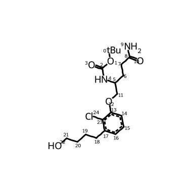 CC(C)(C)OC(=O)NC(CCC(N)=O)COc1cccc(CCCCO)c1Cl